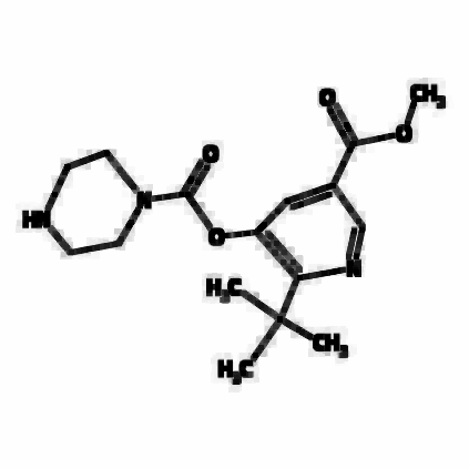 COC(=O)c1cnc(C(C)(C)C)c(OC(=O)N2CCNCC2)c1